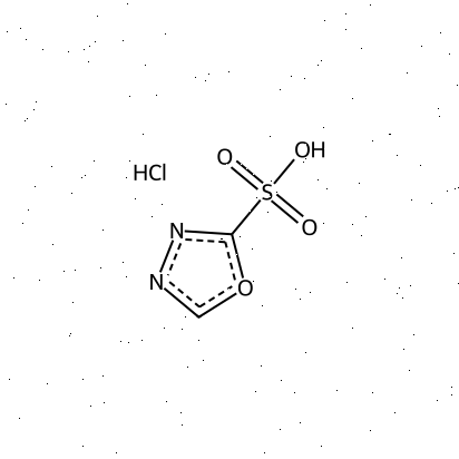 Cl.O=S(=O)(O)c1nnco1